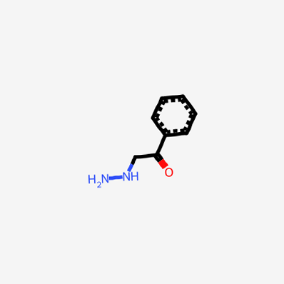 NNCC(=O)c1ccccc1